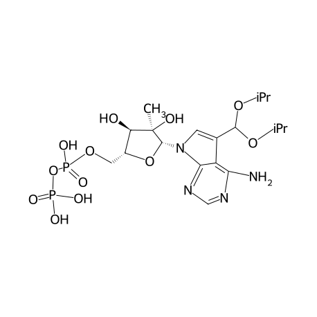 CC(C)OC(OC(C)C)c1cn([C@@H]2O[C@H](COP(=O)(O)OP(=O)(O)O)[C@@H](O)[C@@]2(C)O)c2ncnc(N)c12